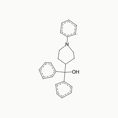 OC(c1ccccc1)(c1ccccc1)C1CCN(c2[c]cccc2)CC1